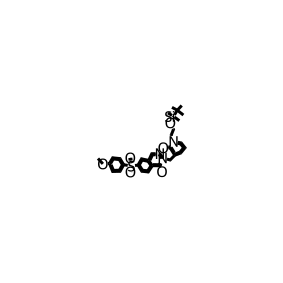 COc1ccc(S(=O)(=O)c2ccc3c(=O)n(Cc4cccn(CCO[Si](C)(C)C(C)(C)C)c4=O)ncc3c2)cc1